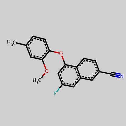 COc1cc(C)ccc1Oc1cc(F)cc2cc(C#N)ccc12